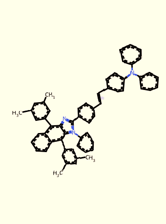 Cc1cc(C)cc(-c2c3ccccc3c(-c3cc(C)cc(C)c3)c3c2nc(-c2ccc(/C=C/c4ccc(N(c5ccccc5)c5ccccc5)cc4)cc2)n3-c2ccccc2)c1